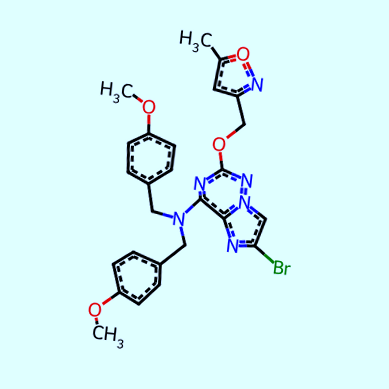 COc1ccc(CN(Cc2ccc(OC)cc2)c2nc(OCc3cc(C)on3)nn3cc(Br)nc23)cc1